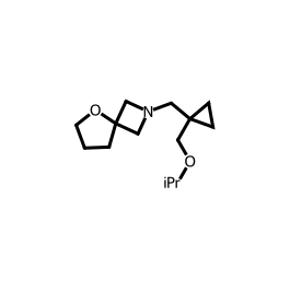 CC(C)OCC1(CN2CC3(CCCO3)C2)CC1